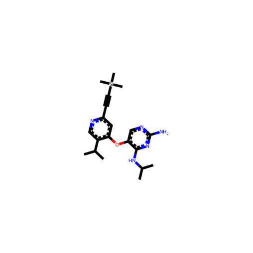 CC(C)Nc1nc(N)ncc1Oc1cc(C#C[Si](C)(C)C)ncc1C(C)C